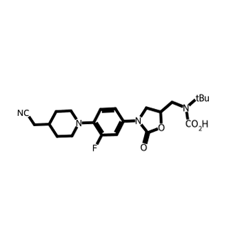 CC(C)(C)N(CC1CN(c2ccc(N3CCC(CC#N)CC3)c(F)c2)C(=O)O1)C(=O)O